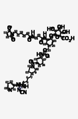 N#C/N=C(\NCCCCC1CCN(C(=O)c2cccc(NC(=O)OCc3ccc(O[C@@H]4OC(C(=O)O)C(O)C(O)C4O)c(NC(=O)CCNC(=O)CCCCCN4C(=O)C=CC4=O)c3)c2)CC1)Nc1cccnc1